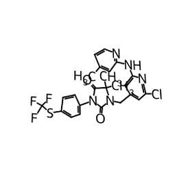 Cc1ccnc(Nc2cc(CN3C(=O)N(c4ccc(SC(F)(F)F)cc4)C(=O)C3(C)C)cc(Cl)n2)c1